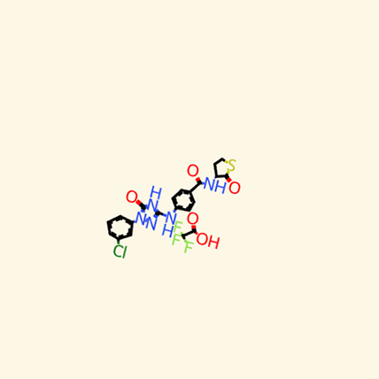 O=C(N[C@@H]1CCSC1=O)c1ccc(Nc2nn(-c3cccc(Cl)c3)c(=O)[nH]2)cc1.O=C(O)C(F)(F)F